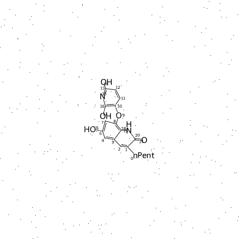 CCCCCc1cc2cc(O)cc(Oc3ccc(O)nc3O)c2[nH]c1=O